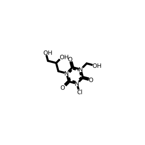 O=c1n(Cl)c(=O)n(CC(O)CO)c(=O)n1CO